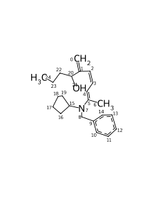 C=C(/C=C\C=C(/C)N(Cc1ccccc1)C1CCCC1)C(O)CCC